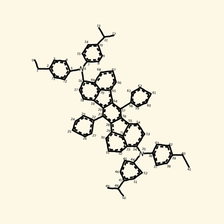 CCc1ccc(N(c2ccc(C(C)C)cc2)c2ccc3c4c(-c5ccccc5)c5c6cccc7c(N(c8ccc(CC)cc8)c8ccc(C(C)C)cc8)ccc(c5c(-c5ccccc5)c4c4cccc2c43)c76)cc1